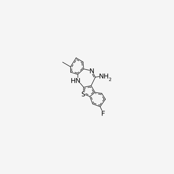 Cc1ccc2c(c1)Nc1sc3cc(F)ccc3c1C(N)=N2